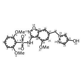 COc1cccc(OC)c1S(=O)(=O)Nc1noc2cc(Cn3cc(O)cn3)cc(OC)c12